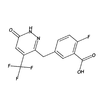 O=C(O)c1cc(Cc2n[nH]c(=O)cc2C(F)(F)F)ccc1F